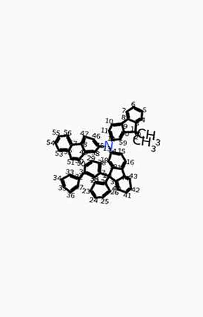 CC1(C)c2ccccc2-c2ccc(N(c3ccc4c(c3)C(c3ccccc3)(c3cccc(-c5ccccc5)c3)c3ccccc3-4)c3ccc4c(ccc5ccccc54)c3)cc21